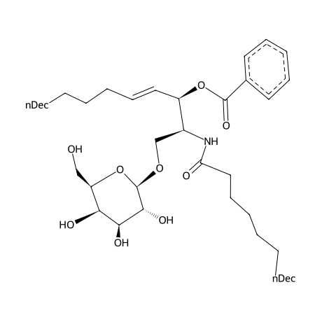 CCCCCCCCCCCCC/C=C/[C@@H](OC(=O)c1ccccc1)[C@H](CO[C@@H]1O[C@H](CO)[C@H](O)[C@H](O)[C@H]1O)NC(=O)CCCCCCCCCCCCCCC